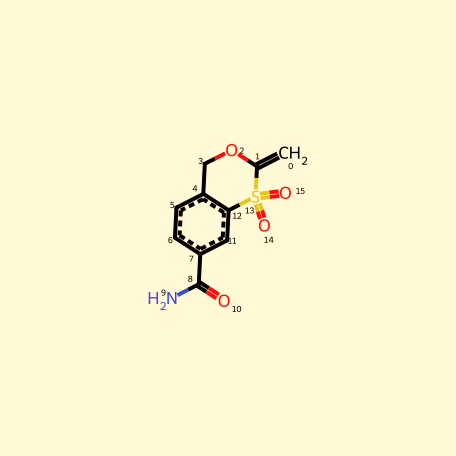 C=C1OCc2ccc(C(N)=O)cc2S1(=O)=O